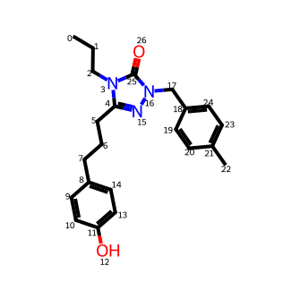 CCCn1c(CCCc2ccc(O)cc2)nn(Cc2ccc(C)cc2)c1=O